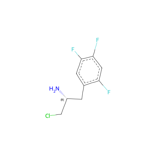 N[C@@H](CCl)Cc1cc(F)c(F)cc1F